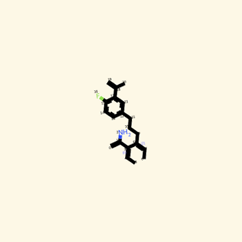 C=C(N)C(=C/C)/C(=C\C)CCCc1ccc(F)c(C(=C)C)c1